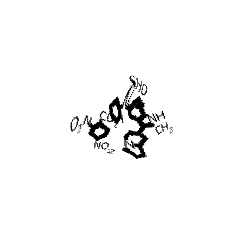 Cc1[nH]c2ccc(N(C=O)c3ccccc3)cc2c1C1=CCN2CCCC2C1.O=C(O)c1ccc([N+](=O)[O-])cc1[N+](=O)[O-]